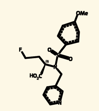 COc1ccc(S(=O)(=O)N(Cc2cccnc2)[C@H](CCF)C(=O)O)cc1